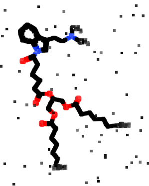 CCCCCCCCCCCCCCCC(=O)OCC(COC(=O)CCCCCCCCCCCCCCC)OC(=O)CCCCC(=O)n1cc(CCN(C)C)c2ccccc21